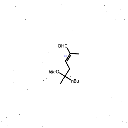 CCCCC(C)(C/C=C(\C)C=O)OC